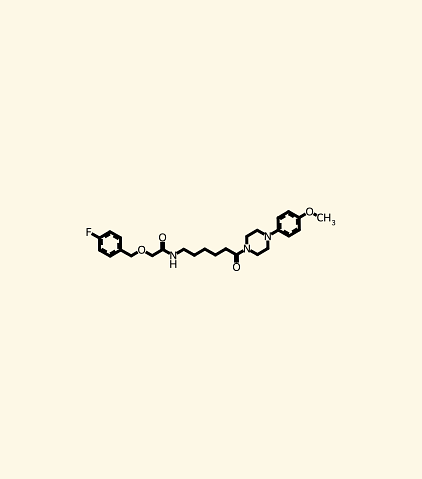 COc1ccc(N2CCN(C(=O)CCCCCNC(=O)COCc3ccc(F)cc3)CC2)cc1